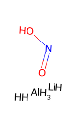 O=NO.[AlH3].[HH].[LiH]